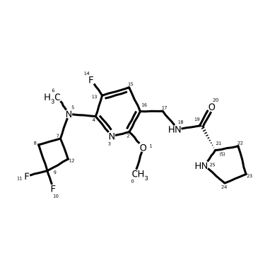 COc1nc(N(C)C2CC(F)(F)C2)c(F)cc1CNC(=O)[C@@H]1CCCN1